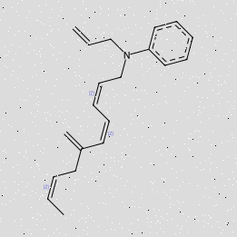 C=CCN(C/C=C\C=C/C(=C)C/C=C\C)c1ccccc1